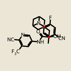 CC(O)(CN1CC2CC(C1)N2c1ccc(C#N)cc1F)C(=O)Nc1cnc(C#N)c(C(F)(F)F)c1